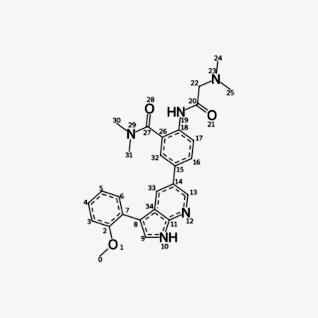 COc1ccccc1-c1c[nH]c2ncc(-c3ccc(NC(=O)CN(C)C)c(C(=O)N(C)C)c3)cc12